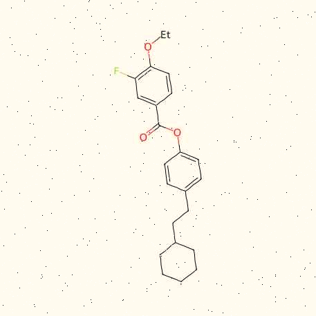 CCOc1ccc(C(=O)Oc2ccc(CCC3CC[CH]CC3)cc2)cc1F